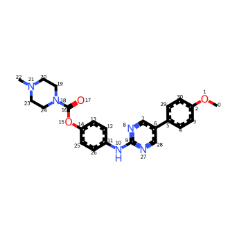 COc1ccc(-c2cnc(Nc3ccc(OC(=O)N4CCN(C)CC4)cc3)nc2)cc1